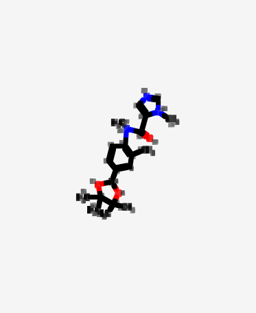 Cc1cc(B2OC(C)(C)C(C)(C)O2)ccc1N(C)C(=O)c1cncn1C